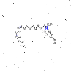 CCCCC/C=C\C/C=C\CCCCCCCC[N+](CC)(CC)CCCCCC